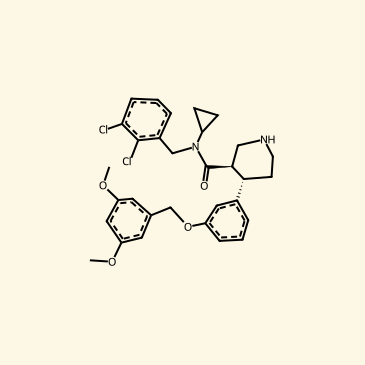 COc1cc(COc2cccc([C@H]3CCNC[C@@H]3C(=O)N(Cc3cccc(Cl)c3Cl)C3CC3)c2)cc(OC)c1